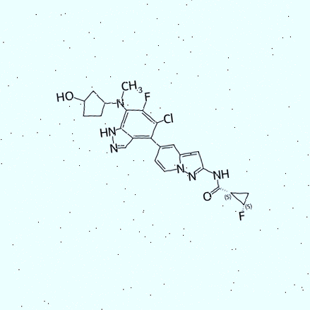 CN(c1c(F)c(Cl)c(-c2ccn3nc(NC(=O)[C@@H]4C[C@@H]4F)cc3c2)c2cn[nH]c12)C1CCC(O)C1